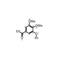 CCOc1cc(C(=O)CC)cc(OC)c1OC